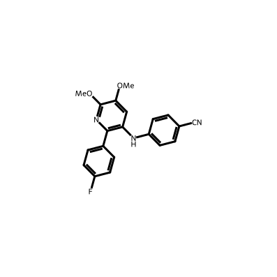 COc1cc(Nc2ccc(C#N)cc2)c(-c2ccc(F)cc2)nc1OC